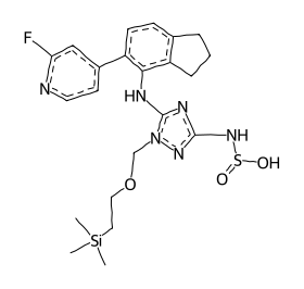 C[Si](C)(C)CCOCn1nc(NS(=O)O)nc1Nc1c(-c2ccnc(F)c2)ccc2c1CCC2